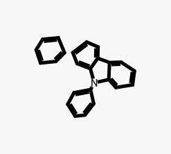 c1ccc(-n2c3ccccc3c3ccccc32)cc1.c1ccccc1